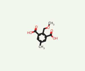 COCc1c(C(=O)O)cc(C)cc1C(=O)O